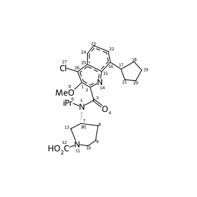 COc1c(C(=O)N(C(C)C)[C@@H]2CCCN(C(=O)O)C2)nc2c(C3CCCC3)cccc2c1Cl